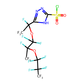 O=S(=O)(Cl)c1nnc(C(F)(OC(F)(F)C(F)(OC(F)(F)C(F)(F)C(F)(F)F)C(F)(F)F)C(F)(F)F)[nH]1